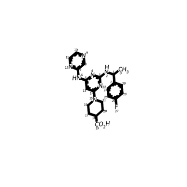 CC(Nc1nc(Nc2cnccn2)cc(N2CCC(C(=O)O)CC2)n1)c1ccc(F)cc1